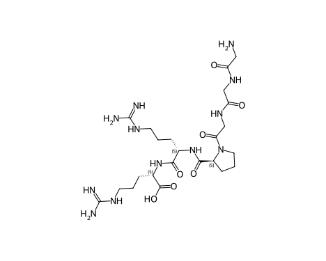 N=C(N)NCCC[C@H](NC(=O)[C@H](CCCNC(=N)N)NC(=O)[C@@H]1CCCN1C(=O)CNC(=O)CNC(=O)CN)C(=O)O